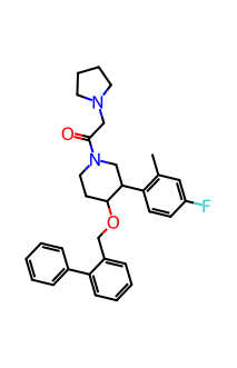 Cc1cc(F)ccc1C1CN(C(=O)CN2CCCC2)CCC1OCc1ccccc1-c1ccccc1